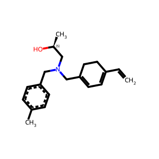 C=CC1=CC=C(CN(Cc2ccc(C)cc2)C[C@H](C)O)CC1